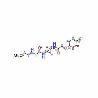 COCCNCC(=O)NC12CC1(NC(=O)COc1ccc(Cl)cc1)C2